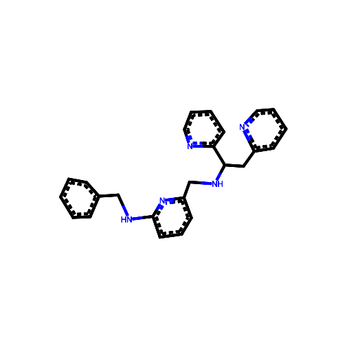 c1ccc(CNc2cccc(CNC(Cc3ccccn3)c3ccccn3)n2)cc1